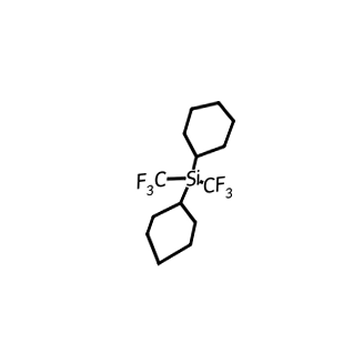 FC(F)(F)[Si](C1CCCCC1)(C1CCCCC1)C(F)(F)F